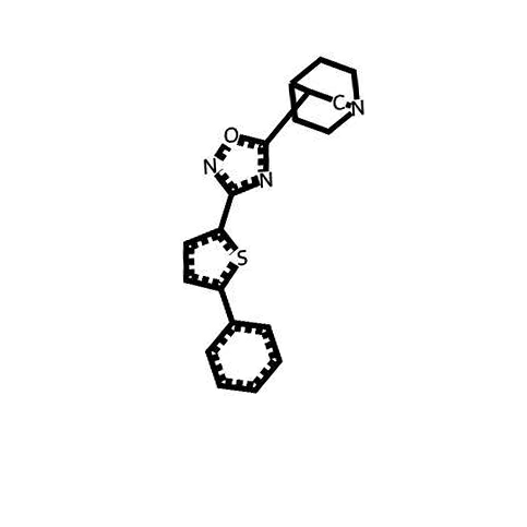 c1ccc(-c2ccc(-c3noc(C4CN5CCC4CC5)n3)s2)cc1